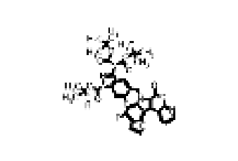 CC(C)(C)OC(=O)N(C(=O)OC(C)(C)C)c1nn(C(=O)OC(C)(C)C)c2cc(F)c(Cn3c4cc(F)c5ccoc5c4c4c5cccnc5oc(=O)c43)cc12